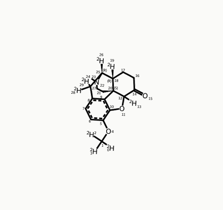 [2H]C([2H])([2H])Oc1ccc2c3c1OC1([2H])C(=O)CC[C@]4([2H])[C@@]31CCN(C)[C@]4([2H])C2([2H])[2H]